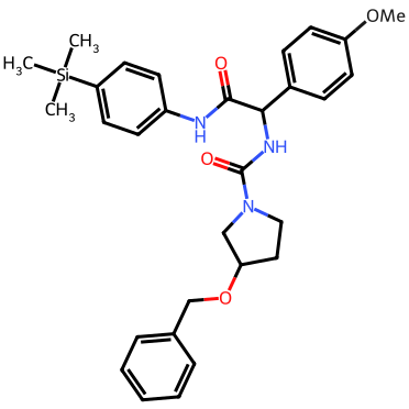 COc1ccc(C(NC(=O)N2CCC(OCc3ccccc3)C2)C(=O)Nc2ccc([Si](C)(C)C)cc2)cc1